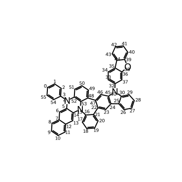 c1ccc(N2c3cc4ccccc4cc3N3c4ccccc4-c4cc5c6ccccc6n(-c6ccc7c(c6)oc6ccccc67)c5cc4-c4cccc2c43)cc1